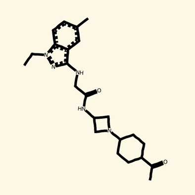 CCn1nc(NCC(=O)NC2CN(C3CCC(C(C)=O)CC3)C2)c2cc(C)ccc21